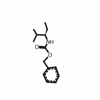 CC[C@@H](NC(=O)OCc1ccccc1)C(C)C